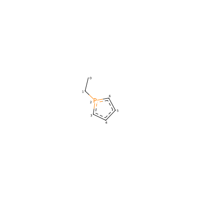 CCp1cccc1